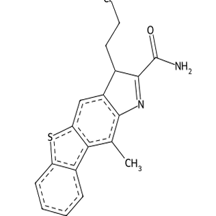 Cc1c2c(cc3sc4ccccc4c13)C(CCCl)C(C(N)=O)=N2